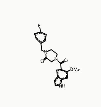 COc1cc2[nH]ccc2cc1C(=O)N1CCN(Cc2ccc(F)cc2)C(=O)C1